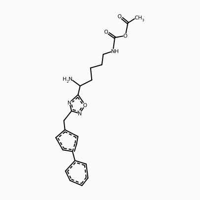 CC(=O)OC(=O)NCCCCC(N)c1nc(Cc2ccc(-c3ccccc3)cc2)no1